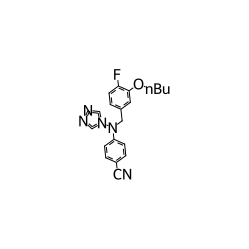 CCCCOc1cc(CN(c2ccc(C#N)cc2)n2cnnc2)ccc1F